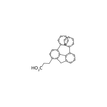 O=C(O)CCc1ccc(-c2ccccc2)c2c1Cc1cccc(-c3ccccc3)c1-2